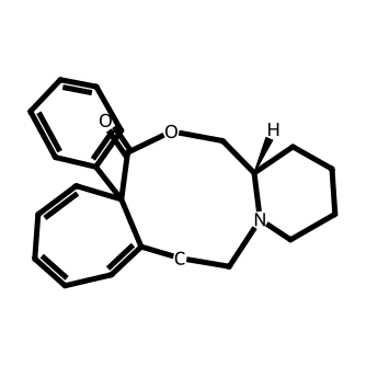 O=C1OC[C@@H]2CCCCN2CCC2=CC=CC=CC12c1ccccc1